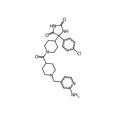 Nc1cc(CN2CCC(C(=O)N3CCC(C4(c5ccc(Cl)cc5)NC(=O)NC4=O)CC3)CC2)ccn1